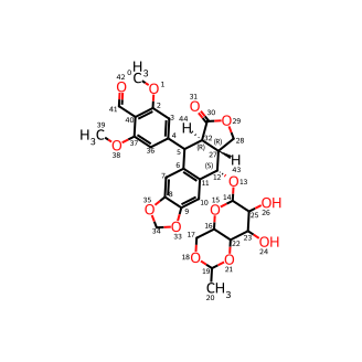 COc1cc(C2c3cc4c(cc3[C@@H](OC3OC5COC(C)OC5C(O)C3O)[C@H]3COC(=O)[C@H]23)OCO4)cc(OC)c1C=O